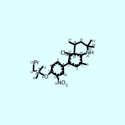 Cc1cc(-c2ccc(O[Si](C)(C)CC(C)C)c([N+](=O)[O-])c2)c(Cl)c2c1NC(C)(C)CC2C